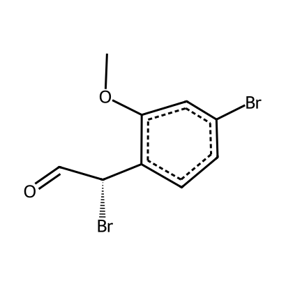 COc1cc(Br)ccc1[C@H](Br)C=O